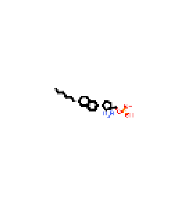 CCCCCC[C@@H]1CCc2cc([C@@H]3CC[C@](N)(COP(O)O)C3)ccc2C1